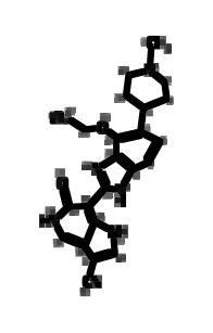 CN1CCC(c2ccc3[nH]c(-c4c(=O)[nH]cc5c(C#N)c[nH]c45)nc3c2OCC(C)(C)C)CC1